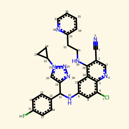 N#Cc1cnc2c(Cl)cc(NC(c3ccc(F)cc3)c3cn(C4CC4)nn3)cc2c1NCCc1ccccn1